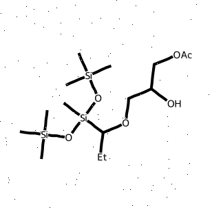 CCC(OCC(O)COC(C)=O)[Si](C)(O[Si](C)(C)C)O[Si](C)(C)C